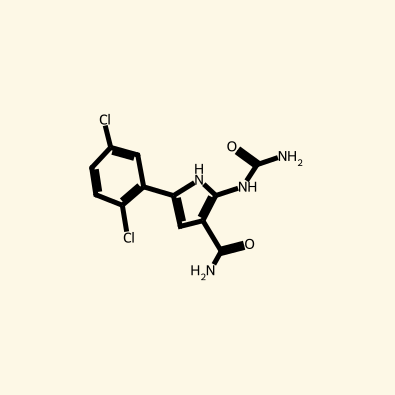 NC(=O)Nc1[nH]c(-c2cc(Cl)ccc2Cl)cc1C(N)=O